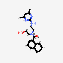 Cc1cc(C)nc(NCCN(CCO)C(=O)c2cccc3ccccc23)n1